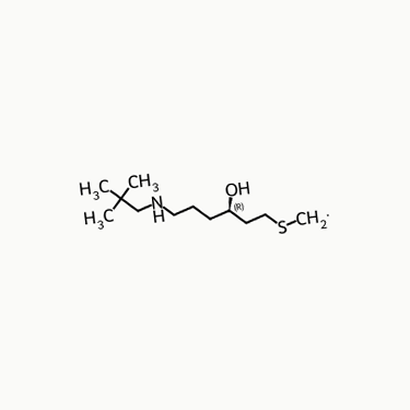 [CH2]SCC[C@H](O)CCCNCC(C)(C)C